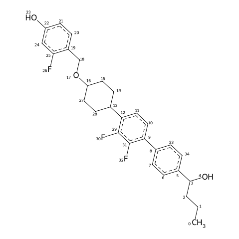 CCCC(O)c1ccc(-c2ccc(C3CCC(OCc4ccc(O)cc4F)CC3)c(F)c2F)cc1